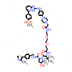 Cc1ncsc1-c1ccc(CNC(=O)[C@@H]2C[C@@H](O)CN2C(=O)[C@@H](NC(=O)CCOCCOCCNC(=O)CN2CCN(c3ccc(Nc4nc5cccc(-c6ccc(S(C)(=O)=O)cc6)n5n4)cc3)CC2)C(C)(C)C)cc1